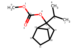 COC(=O)OC1(C(C)C)CC2CCC1C2